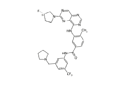 Cc1ccc(C(=O)Nc2cc(CN3CCCC3)cc(C(F)(F)F)c2)cc1Nc1ncnc2cnc(N3CC[C@H](F)C3)nc12